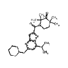 CC(C)c1cc(CC2CCCCC2)nc2cc(C(=O)N3CCC(C)(C)C(=O)C3(C)C)nn12